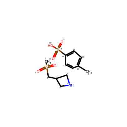 CS(=O)(=O)CC1CNC1.Cc1ccc(S(=O)(=O)O)cc1